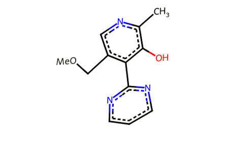 COCc1cnc(C)c(O)c1-c1ncccn1